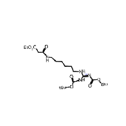 CCOC(=O)CC(=O)NCCCCCCN/C(=N/C(=O)OC(C)(C)C)NC(=O)OC(C)(C)C